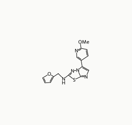 COc1ccc(-c2cnc3sc(NCc4ccco4)nn23)cn1